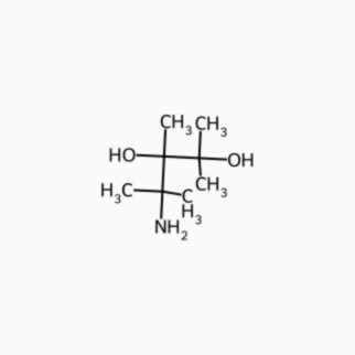 CC(C)(N)C(C)(O)C(C)(C)O